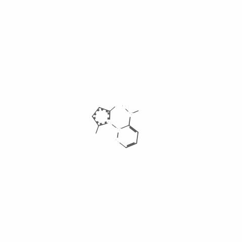 Cc1ccc(C)n1N1NC=CC=C1N(C)C.Cl